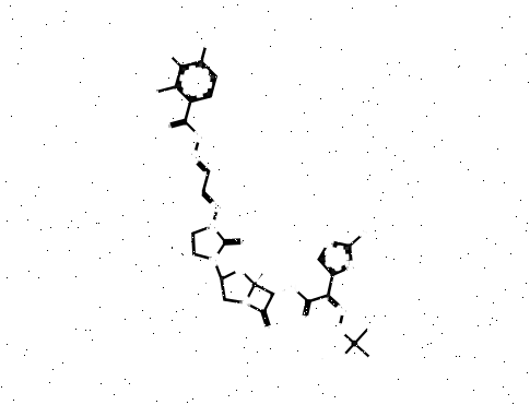 CC(C)(O/N=C(\C(=O)N[C@@H]1C(=O)N2C[C@@](C(=O)O)(N3CCN(/N=C/C=N/NC(=O)c4ccc(O)c(O)c4Cl)C3=O)S[C@H]12)c1csc(N)n1)C(=O)O